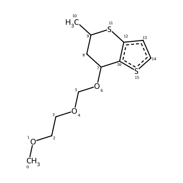 COCCOCOC1CC(C)Sc2ccsc21